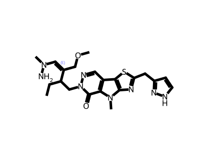 CCC(Cn1ncc2c3sc(Cc4cc[nH]n4)nc3n(C)c2c1=O)/C(=C\N(C)N)COC